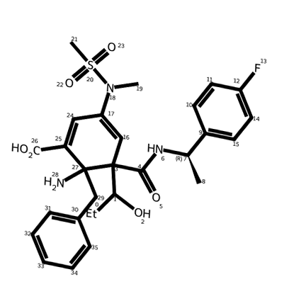 CCC(O)C1(C(=O)N[C@H](C)c2ccc(F)cc2)C=C(N(C)S(C)(=O)=O)C=C(C(=O)O)C1(N)Cc1ccccc1